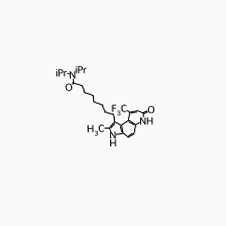 Cc1[nH]c2ccc3[nH]c(=O)cc(C(F)(F)F)c3c2c1CCCCCCCC(=O)N(C(C)C)C(C)C